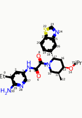 CCc1cc(NC(=O)C(=O)N2C[C@H](C)[C@H](OC(C)C)C[C@H]2c2ccc3scnc3c2)cnc1N